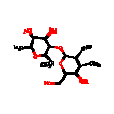 COC1C(O)C(CO)OC(OC2C(C(=O)O)OC(C)C(O)C2O)C1NC(C)=O